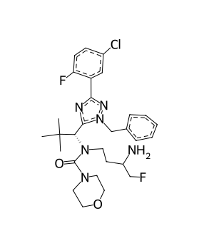 CC(C)(C)[C@H](c1nc(-c2cc(Cl)ccc2F)nn1Cc1ccccc1)N(CCC(N)CF)C(=O)N1CCOCC1